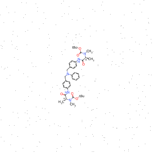 C[C@@H](C(=O)Nc1ccc(CN(Cc2ccc(NC(=O)[C@H](C)N(C)C(=O)OC(C)(C)C)cc2)c2ccccc2)cc1)N(C)C(=O)OC(C)(C)C